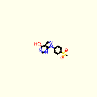 CS(=O)(=O)c1ccc(-n2ncc3c(O)ncnc32)cc1